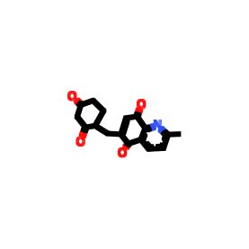 Cc1ccc2c(n1)C(=O)C=C(CC1CCC(=O)CC1=O)C2=O